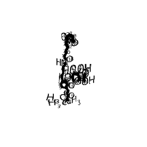 CC(C)(C)C(=O)OCc1ccc(CCCCNC(=O)CCCCCN2C(=O)C=CC2=O)cc1O[C@@H]1O[C@@H](C(=O)O)[C@H](O)[C@@H](O)[C@@H]1O